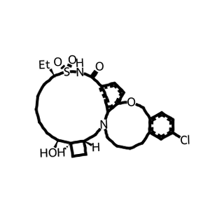 CC[C@@H]1CCCCC[C@H](O)[C@@H]2CC[C@H]2CN2CCCCc3cc(Cl)ccc3COc3ccc(cc32)C(=O)NS1(=O)=O